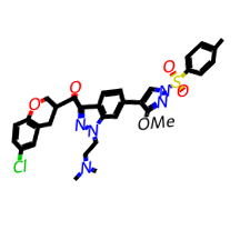 COc1nn(S(=O)(=O)c2ccc(C)cc2)cc1-c1ccc2c(C(=O)C3COc4ccc(Cl)cc4C3)nn(CCN(C)C)c2c1